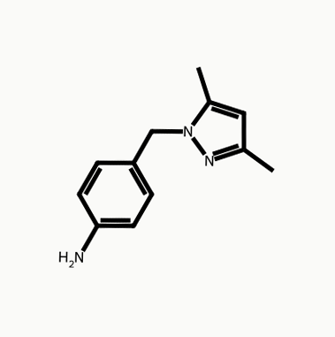 Cc1cc(C)n(Cc2ccc(N)cc2)n1